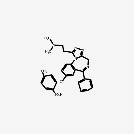 CN(C)CCc1nnc2n1-c1ccc(Cl)cc1C(c1ccccc1)=NC2.Cc1ccc(S(=O)(=O)O)cc1